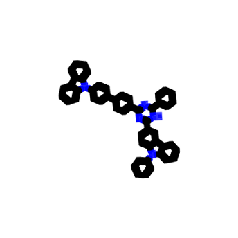 c1ccc(C2N=C(c3ccc(-c4ccc(-n5c6ccccc6c6ccccc65)cc4)cc3)N=C(c3ccc4c(c3)c3ccccc3n4-c3ccccc3)N2)cc1